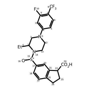 CCC1CN(c2ccc(C(F)(F)F)c(F)c2)CCN1[S+]([O-])c1ccc2c(c1)C(C(=O)O)CC2